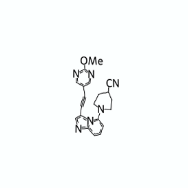 COc1ncc(C#Cc2cnc3cccc(N4CCC(C#N)CC4)n23)cn1